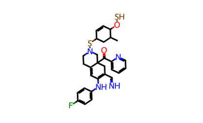 CC1CC(SN2CCC3=CC(Nc4ccc(F)cc4)=C(C=N)CC3(C(=O)c3ccccn3)C2)C=CC1OS